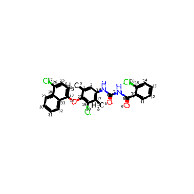 Cc1cc(NC(=O)NC(=O)c2ccccc2Cl)c(C)c(Cl)c1Oc1ccc(Cl)c2ccccc12